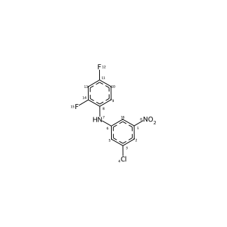 O=[N+]([O-])c1cc(Cl)cc(Nc2ccc(F)cc2F)c1